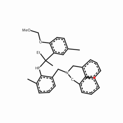 CCC(C)(Pc1c(C)cccc1CN(Cc1ccccc1)Cc1ccccc1)c1cc(C)ccc1OCOC